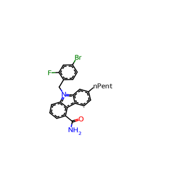 CCCCCc1c[c]c2c3c(C(N)=O)cccc3n(Cc3ccc(Br)cc3F)c2c1